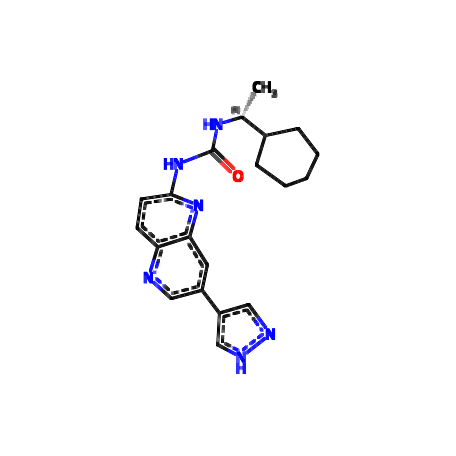 C[C@@H](NC(=O)Nc1ccc2ncc(-c3cn[nH]c3)cc2n1)C1CCCCC1